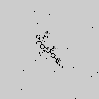 Cc1nc(-c2ccc(N(Cc3nc4cc([C@H](CNC(=O)OC(C)(C)C)C(=O)N5CCCC5)ccc4n3C)C(=O)OC(C)(C)C)cc2)no1